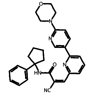 N#CC(=Cc1cccc(-c2ccc(N3CCOCC3)nc2)n1)C(=O)NC1(c2ccccc2)CCCC1